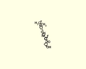 CC(C)(F)CN1CCC(COc2cnc(-c3ccc(C(=O)N4CCC[C@H](O)C4)cc3F)cn2)CC1